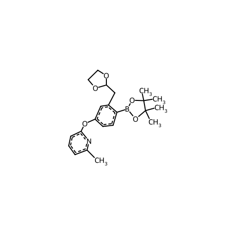 Cc1cccc(Oc2ccc(B3OC(C)(C)C(C)(C)O3)c(CC3OCCO3)c2)n1